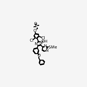 CSc1nccc(-c2c(-c3cccc(OCc4ccccc4)c3)nc(-c3c(Cl)cc(OCP(C)(C)=O)cc3Cl)n2O)n1